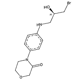 O=C1COCCN1c1ccc(NC[C@@H](O)CBr)cc1